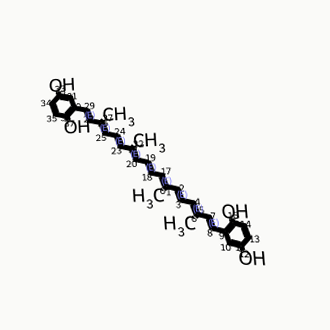 CC(/C=C/C=C(C)/C=C/c1cc(O)ccc1O)=C\C=C\C=C(C)\C=C\C=C(C)\C=C\c1cc(O)ccc1O